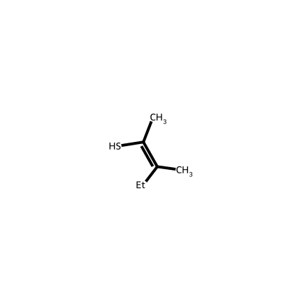 CCC(C)=C(C)S